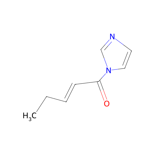 CCC=CC(=O)n1ccnc1